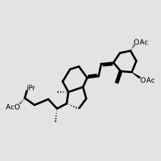 C=C1/C(=C\C=C2CCC[C@@]3(C)C2CC[C@@H]3[C@H](C)CC[C@H](OC(C)=O)C(C)C)C[C@H](OC(C)=O)C[C@H]1OC(C)=O